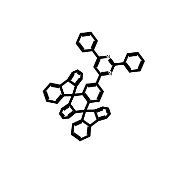 c1ccc(-c2cc(-c3ccc4c(c3)C3(c5ccccc5-c5ccccc53)c3ccccc3C43c4ccccc4-c4ccccc43)nc(-c3ccccc3)n2)cc1